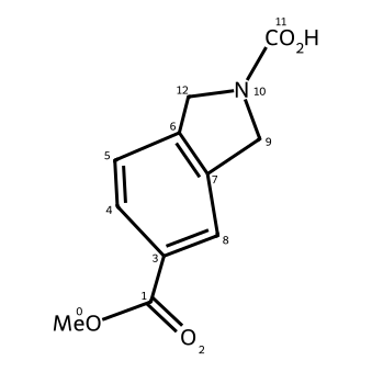 COC(=O)c1ccc2c(c1)CN(C(=O)O)C2